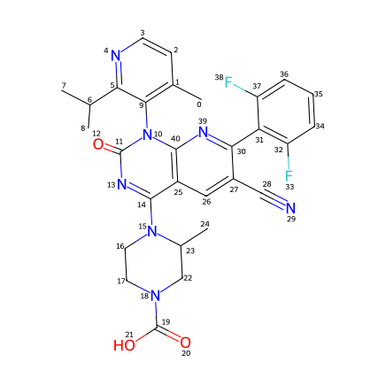 Cc1ccnc(C(C)C)c1-n1c(=O)nc(N2CCN(C(=O)O)CC2C)c2cc(C#N)c(-c3c(F)cccc3F)nc21